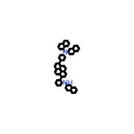 c1ccc(-c2ccc3ccc4c(-c5ccc(N(c6ccc7ccccc7c6)c6cccc7ccccc67)cc5)ccc5ccc2c3c54)c(Nc2ccc3ccccc3c2)c1